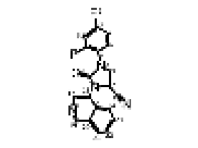 N#CC1CN(c2ccc(F)cc2F)C(=O)N1c1cncc2ccccc12